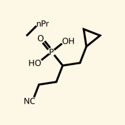 CCCC.N#CCCC(CC1CC1)P(=O)(O)O